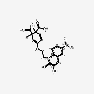 CC1(C(=O)O)C=CC(OCCn2c(=O)c(O)cc3cc([N+](=O)[O-])ccc32)=CC1(C)C(=O)O